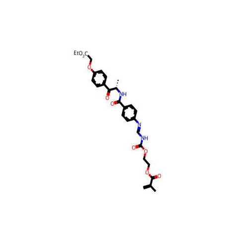 C=C(C)C(=O)OCCOC(=O)NC=Nc1ccc(C(=O)N[C@@H](C)C(=O)c2ccc(OCC(=O)OCC)cc2)cc1